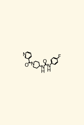 O=C(Nc1ccc(F)cc1)NC1CCN(C(=O)c2cccnc2)CC1